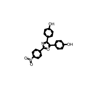 O=[N+]([O-])c1ccc(-c2nc(-c3ccc(O)cc3)c(-c3ccc(O)cc3)o2)cc1